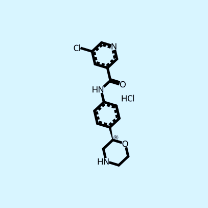 Cl.O=C(Nc1ccc([C@@H]2CNCCO2)cc1)c1cncc(Cl)c1